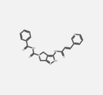 O=C(/C=C/c1cccnc1)Nc1[nH]nc2c1CN(C(=O)NC(=O)c1ccccc1)C2